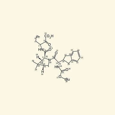 CC(C)CC(NC(=O)[C@@H]1[C@@H]2[C@H](CN1C(=O)[C@@H](NC(=O)OC(C)(C)C)C1Cc3ccccc3C1)C2(C)C)C(=O)C(=O)O